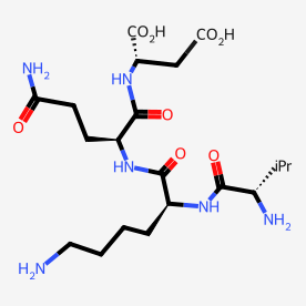 CC(C)[C@H](N)C(=O)N[C@@H](CCCCN)C(=O)N[C@@H](CCC(N)=O)C(=O)N[C@@H](CC(=O)O)C(=O)O